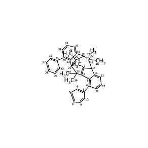 CC1=C2c3c(-c4ccccc4)cccc3[CH]1[Ti]([CH3])([CH3])[CH]1C(C)=C(c3c(-c4ccccc4)cccc31)C2(C)C